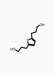 OCCCc1ccc(CCCO)s1